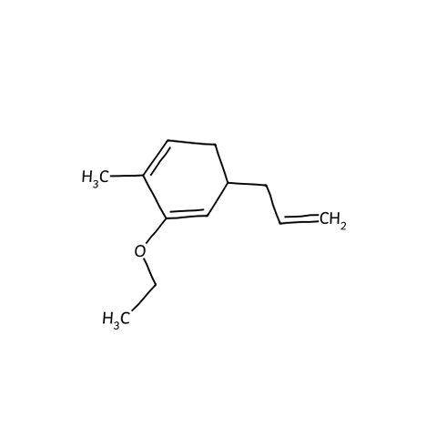 C=CCC1C=C(OCC)C(C)=CC1